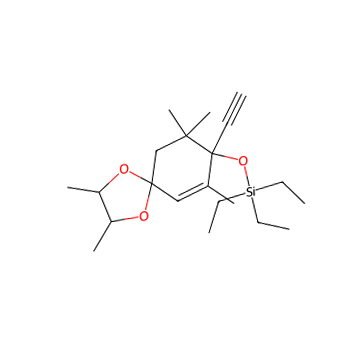 C#CC1(O[Si](CC)(CC)CC)C(C)=CC2(CC1(C)C)OC(C)C(C)O2